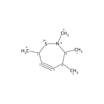 CC1C#CC(C)C(C)N(C)S1